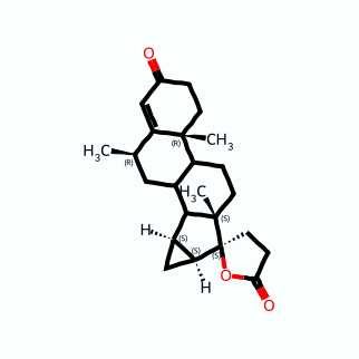 C[C@@H]1CC2C(CC[C@@]3(C)C2[C@@H]2C[C@@H]2[C@@]32CCC(=O)O2)[C@@]2(C)CCC(=O)C=C12